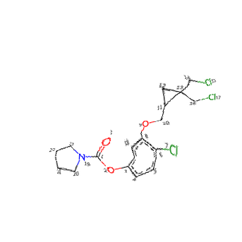 O=C(Oc1ccc(Cl)c(OCC2CC2(CCl)CCl)c1)N1CCCC1